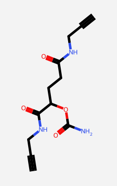 C#CCNC(=O)CCC(OC(N)=O)C(=O)NCC#C